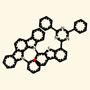 c1ccc(-c2nc(-c3ccccc3)nc(-c3cccc4c3sc3c(-n5c6ccccc6c6ccc7c8ccccc8n(-c8ccccc8)c7c65)cccc34)n2)cc1